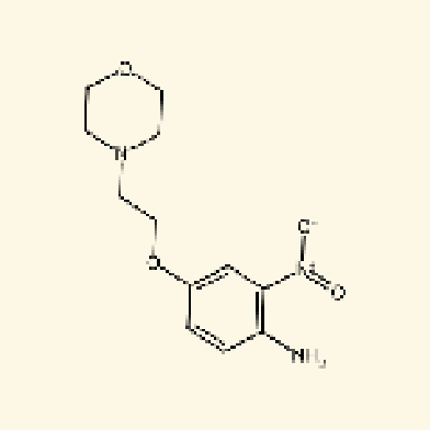 Nc1ccc(OCCN2CCOCC2)cc1[N+](=O)[O-]